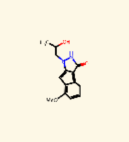 COC1=C2C=c3c(c(=O)[nH]n3CC(C)O)=C2CC=C1